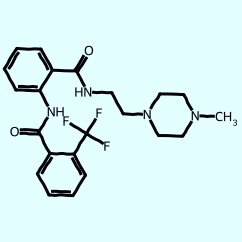 CN1CCN(CCNC(=O)c2ccccc2NC(=O)c2ccccc2C(F)(F)F)CC1